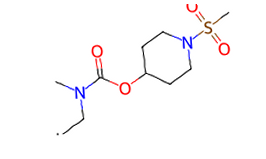 [CH2]CN(C)C(=O)OC1CCN(S(C)(=O)=O)CC1